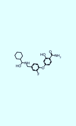 NC(=O)c1ccc(Oc2ccc(CNC(O)C3CCCCC3)cc2F)cc1O